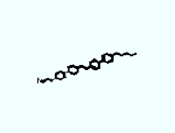 CCCCCc1ccc(-c2ccc(CCC3CCC([C@H]4CC[C@H](CCCF)CC4)CC3)cc2)cc1